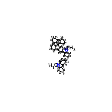 Cn1c2ccccc2c2cc(Cc3ccc4c(c3)c3ccc5c(c3n4C)-c3ccccc3C5(c3ccccc3)c3ccccc3)ccc21